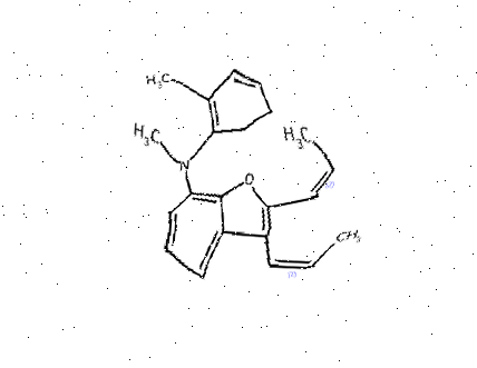 C/C=C\c1oc2c(N(C)C3=C(C)C=CCC3)cccc2c1/C=C\C